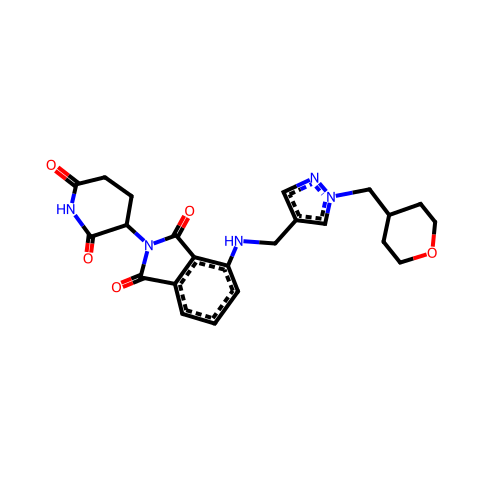 O=C1CCC(N2C(=O)c3cccc(NCc4cnn(CC5CCOCC5)c4)c3C2=O)C(=O)N1